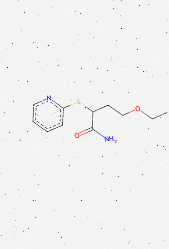 CCOCCC(Sc1ccccn1)C(N)=O